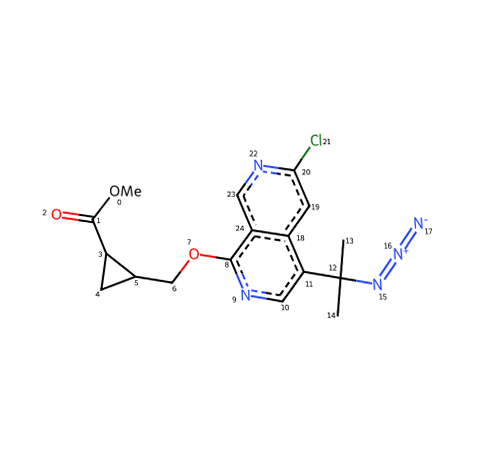 COC(=O)C1CC1COc1ncc(C(C)(C)N=[N+]=[N-])c2cc(Cl)ncc12